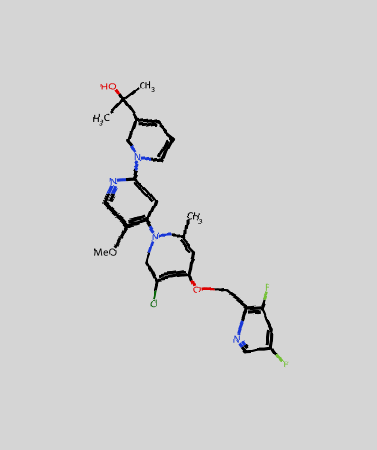 COc1cnc(N2C=CC=C(C(C)(C)O)C2)cc1N1CC(Cl)=C(OCc2ncc(F)cc2F)C=C1C